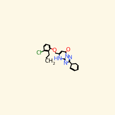 C=CCc1c(Cl)cccc1OCc1cc(=O)n2nc(C3C=CC=CC3)nc2[nH]1